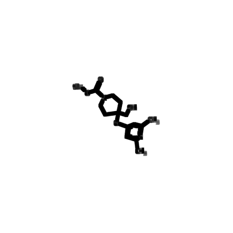 Cc1cc(OC2(CO)CCN(C(=O)OC(C)(C)C)CC2)cc(C)n1